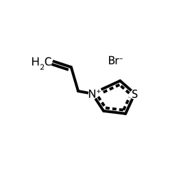 C=CC[n+]1ccsc1.[Br-]